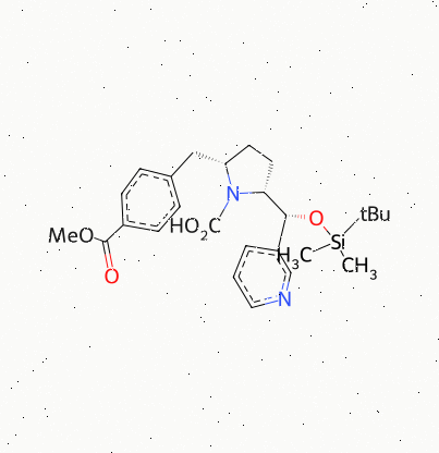 COC(=O)c1ccc(C[C@@H]2CC[C@H]([C@H](O[Si](C)(C)C(C)(C)C)c3cccnc3)N2C(=O)O)cc1